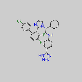 Fc1ccc(-c2ccc(Cl)cc2)c(-c2nccn2C(CNc2ccc(-c3nnn[nH]3)cc2)C2CCCCC2)c1F